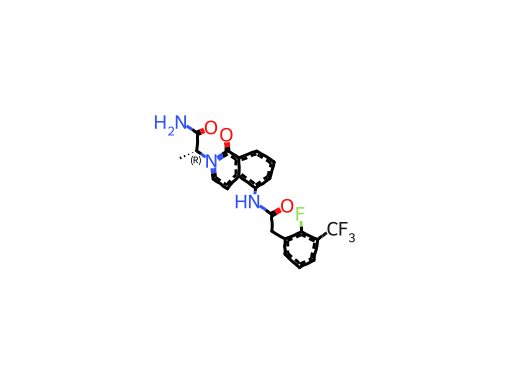 C[C@H](C(N)=O)n1ccc2c(NC(=O)Cc3cccc(C(F)(F)F)c3F)cccc2c1=O